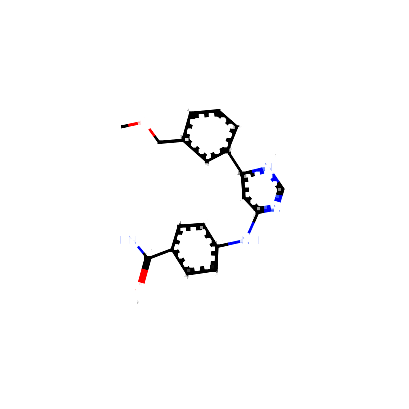 COCc1cccc(-c2cc(Nc3ccc(C(N)=O)cc3)ncn2)c1